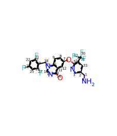 NCc1cnc(Oc2ccc3c(c2)c(=O)ncn3Cc2c(F)cc(F)cc2F)c(C(F)(F)F)c1